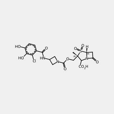 C[C@]1(COC(=O)N2CC(NC(=O)c3ccc(O)c(O)c3Cl)C2)C(C(=O)O)N2C(=O)C[C@H]2S1(=O)=O